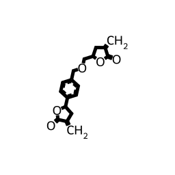 C=C1CC(COCc2ccc(C3CC(=C)C(=O)O3)cc2)OC1=O